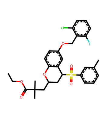 CCOC(=O)C(C)(C)CC1CC(S(=O)(=O)c2cccc(C)c2)c2cc(OCc3c(F)cccc3Cl)ccc2O1